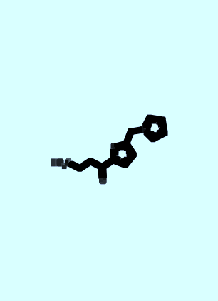 O=C(O)CCC(=O)c1ccc(Cn2cccc2)s1